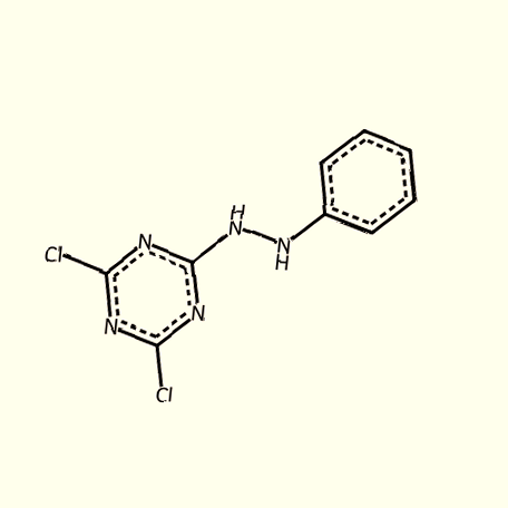 Clc1nc(Cl)nc(NNc2ccccc2)n1